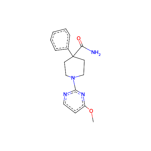 COc1ccnc(N2CCC(C(N)=O)(c3ccccc3)CC2)n1